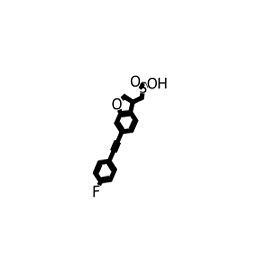 O=S(O)CC1COc2cc(C#Cc3ccc(F)cc3)ccc21